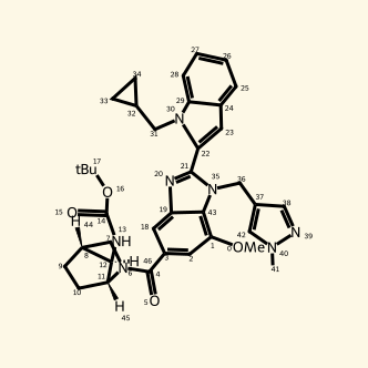 COc1cc(C(=O)N2C[C@H]3CC[C@@H]2[C@@H]3NC(=O)OC(C)(C)C)cc2nc(-c3cc4ccccc4n3CC3CC3)n(Cc3cnn(C)c3)c12